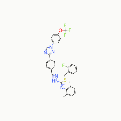 Cc1cccc(C)c1/N=C(/N/N=C/c1ccc(-c2ncn(-c3ccc(OC(F)(F)F)cc3)n2)cc1)SCc1ccccc1F